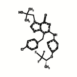 C[C@@H](Oc1ccc(Nc2nc(=O)c3c(ncn3CC(C)(C)O)n2Cc2ccc(Cl)cc2)cc1)C(F)(F)F